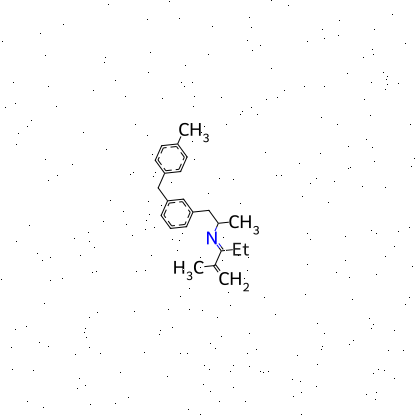 C=C(C)/C(CC)=N/C(C)Cc1cccc(Cc2ccc(C)cc2)c1